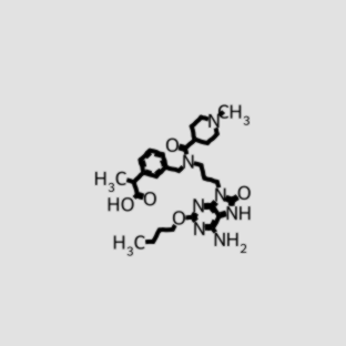 CCCCOc1nc(N)c2[nH]c(=O)n(CCCN(Cc3cccc(C(C)C(=O)O)c3)C(=O)C3CCN(C)CC3)c2n1